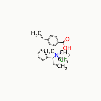 C=CC(c1ccccc1)[N+](C)(C)C.C=Cc1ccc(C(=O)O)cc1.[Cl-]